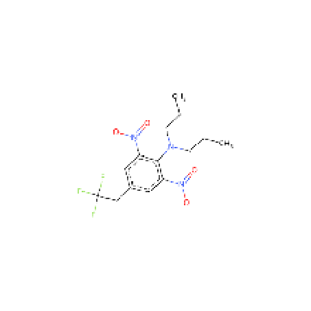 CCCN(CCC)c1c([N+](=O)[O-])cc(CC(F)(F)F)cc1[N+](=O)[O-]